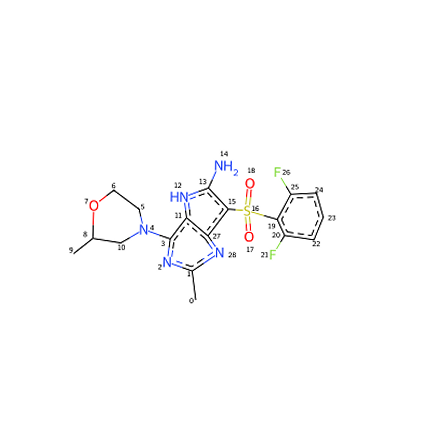 Cc1nc(N2CCOC(C)C2)c2[nH]c(N)c(S(=O)(=O)c3c(F)cccc3F)c2n1